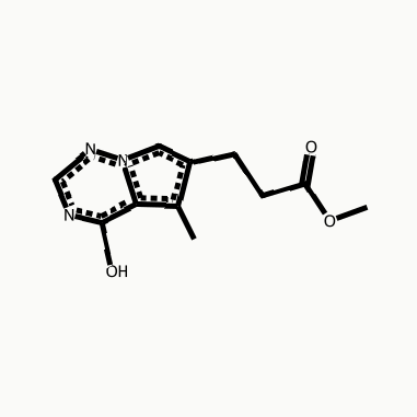 COC(=O)CCc1cn2ncnc(O)c2c1C